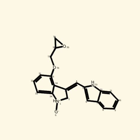 [O-][NH+]1CC(=Cc2cc3ccccc3[nH]2)c2c(OCC3CO3)cccc21